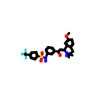 COc1ccc2c(c1)C(=CC(=O)c1cccc(NS(=O)(=O)c3ccc(C(F)(F)F)cc3)c1)NC(C)(C)C2